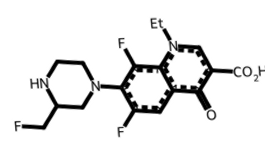 CCn1cc(C(=O)O)c(=O)c2cc(F)c(N3CCNC(CF)C3)c(F)c21